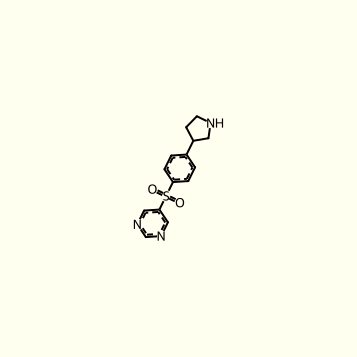 O=S(=O)(c1ccc(C2CCNC2)cc1)c1cncnc1